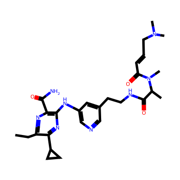 CCc1nc(C(N)=O)c(Nc2cncc(CCNC(=O)C(C)N(C)C(=O)/C=C/CN(C)C)c2)nc1C1CC1